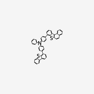 c1ccc(N(c2ccc(-c3cccc4c3sc3ccccc34)cc2)c2ccc(-c3cccc4c3sc3ccc5ccccc5c34)cc2)cc1